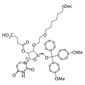 CCCCCCCCCCCCCCCCOCCOC1C(OC(=O)CCC(=O)O)[C@H](n2ccc(=O)[nH]c2=O)O[C@@H]1COC(c1ccccc1)(c1ccc(OC)cc1)c1ccc(OC)cc1